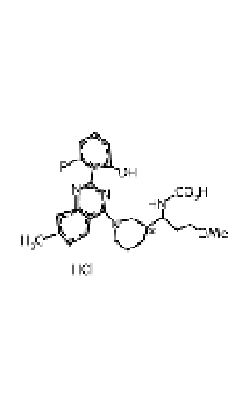 COCCC(NC(=O)O)[C@H]1CCCN(c2nc(-c3c(O)cccc3F)nc3cc(C)ccc23)C1.Cl